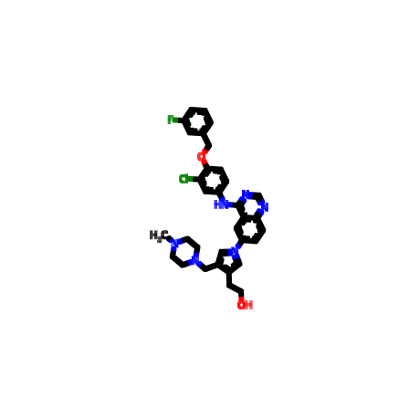 CN1CCN(Cc2cn(-c3ccc4ncnc(Nc5ccc(OCc6cccc(F)c6)c(Cl)c5)c4c3)cc2CCO)CC1